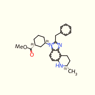 COC(=O)[C@@H]1CCC[C@@H](n2c(Cc3ccccc3)nc3c4c(ccc32)N[C@@H](C)CC4)C1